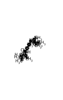 COC(=O)N[C@H](C(=O)N1C[C@@H](OC)C[C@H]1c1nc(Cl)c(-c2ccc(-c3ccc(-c4cnc([C@@H]5C[C@H](SC)CN5C(=O)[C@@H](NC(=O)OC)C(C)(C)C)[nH]4)cc3)cc2)[nH]1)C(C)C